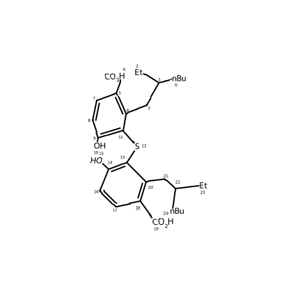 CCCCC(CC)Cc1c(C(=O)O)ccc(O)c1Sc1c(O)ccc(C(=O)O)c1CC(CC)CCCC